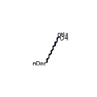 CCCCCCCCCCCCCCCCCCC/C=C/CC(O)CCCC